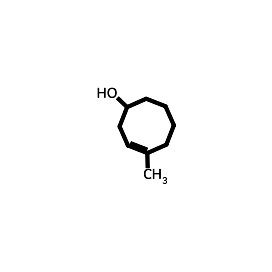 CC1=CCC(O)CCCC1